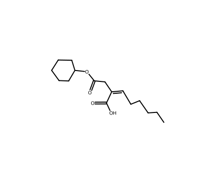 CCCCCC=C(CC(=O)OC1CCCCC1)C(=O)O